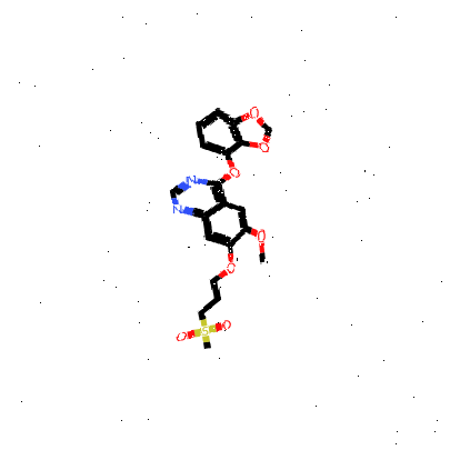 COc1cc2c(Oc3cccc4c3OCO4)ncnc2cc1OCCCS(C)(=O)=O